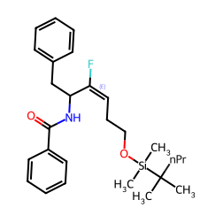 CCCC(C)(C)[Si](C)(C)OCC/C=C(/F)C(Cc1ccccc1)NC(=O)c1ccccc1